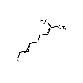 CC(C)=CCCC=CCBr